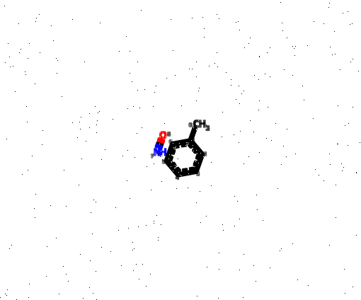 Cc1ccccc1.N=O